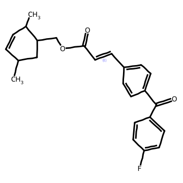 CC1C=CC(C)C(COC(=O)/C=C/c2ccc(C(=O)c3ccc(F)cc3)cc2)C1